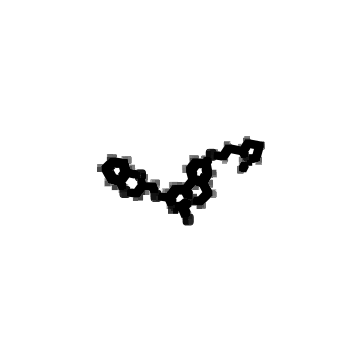 CN1CCCC1CCOc1ccc2c(c1)CCn1c-2cc(OCC2COc3ccccc3O2)nc1=O